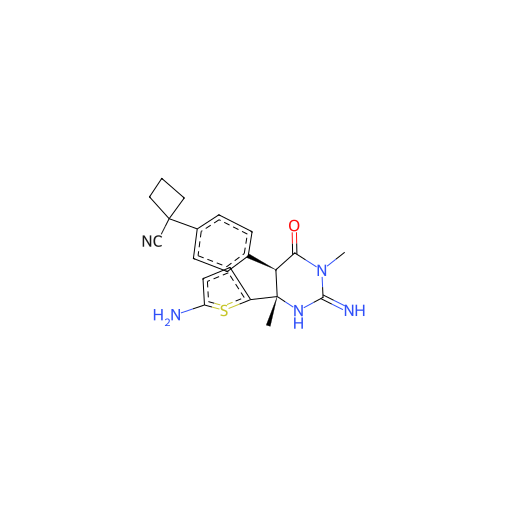 CN1C(=N)N[C@](C)(c2ccc(N)s2)[C@@H](c2ccc(C3(C#N)CCC3)cc2)C1=O